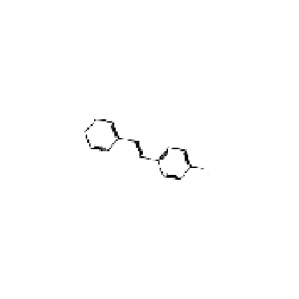 Clc1ccc(/C=C/C2=CCCC=C2)cc1